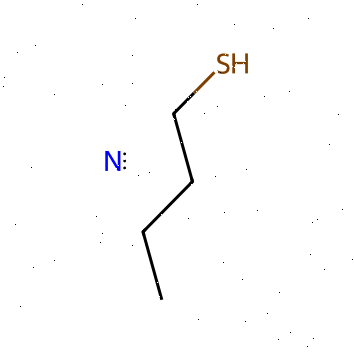 CCCCS.[N]